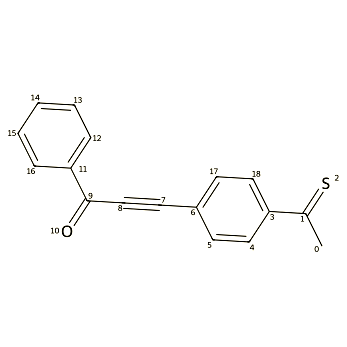 CC(=S)c1ccc(C#CC(=O)c2ccccc2)cc1